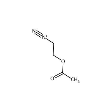 CC(=O)OCC[N+]#N